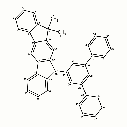 CC1(C)c2ccccc2-c2cc3c4ccccc4n(-c4cc(C5=CC=CCC5)cc(-c5ccccc5)c4)c3cc21